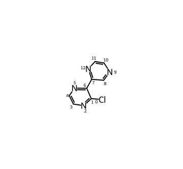 Clc1nccnc1-c1cnccn1